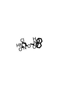 O=C(COc1cc(Cl)[nH]c(=O)n1)NC12CC3CCC1CCC(C3)C2